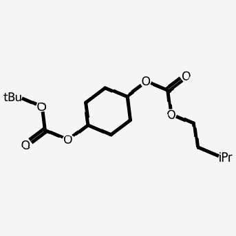 CC(C)CCOC(=O)OC1CCC(OC(=O)OC(C)(C)C)CC1